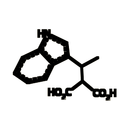 CC(c1c[nH]c2ccccc12)C(C(=O)O)C(=O)O